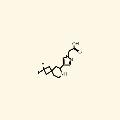 O=C(O)Cn1cc(C2CC3(CCN2)CC(F)(F)C3)cn1